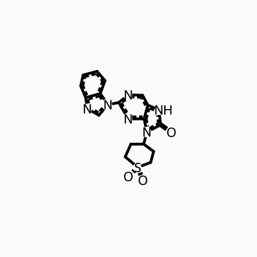 O=c1[nH]c2cnc(-n3cnc4ccccc43)nc2n1C1CCS(=O)(=O)CC1